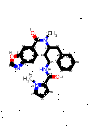 CN(C(=O)c1ccc2ncoc2c1)C(CCNC(=O)c1cccn1C)Cc1ccccc1